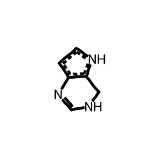 C1=Nc2cc[nH]c2CN1